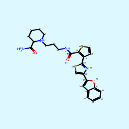 NC(=O)C1CCCCN1CCCNC(=O)c1sccc1-c1nc(-c2cc3ccccc3o2)cs1